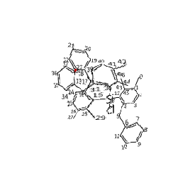 Cc1ccc(Cc2ccccc2)c([Si](Cl)(c2c(Cc3ccccc3)ccc(C)c2C)c2c(Cc3ccccc3)ccc(C)c2C)c1C